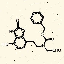 O=CCN(CCc1ccc(O)c2[nH]c(=O)sc12)C(=O)OCc1ccccc1